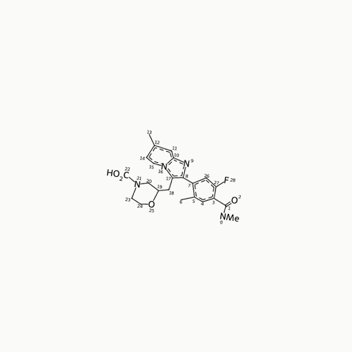 CNC(=O)c1cc(C)c(-c2nc3cc(C)ccn3c2CC2CN(C(=O)O)CCO2)cc1F